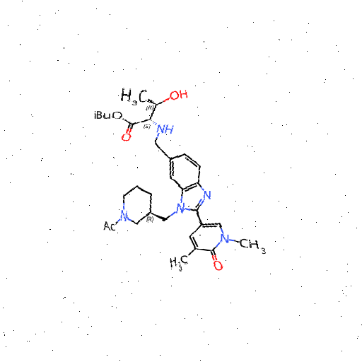 CC(=O)N1CCC[C@@H](Cn2c(-c3cc(C)c(=O)n(C)c3)nc3ccc(CN[C@H](C(=O)OCC(C)C)[C@@H](C)O)cc32)C1